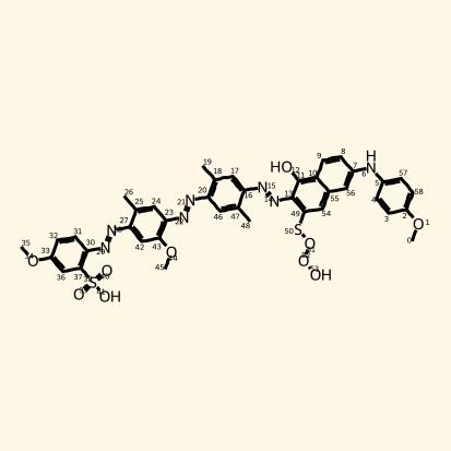 COc1ccc(Nc2ccc3c(O)c(N=Nc4cc(C)c(N=Nc5cc(C)c(N=Nc6ccc(OC)cc6S(=O)(=O)O)cc5OC)cc4C)c(SOOO)cc3c2)cc1